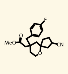 COC(=O)CC1(Cc2ccc(F)cc2)CCOC2(CCC(C#N)C2)C1